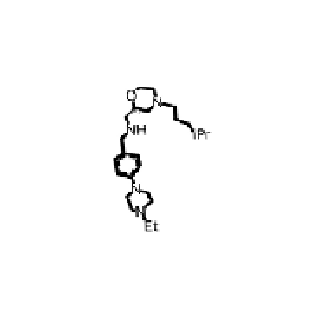 CCN1CCN(c2ccc(CNC[C@@H]3CN(CCCC(C)C)CCO3)cc2)CC1